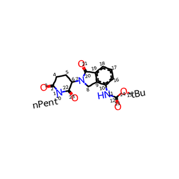 CCCCCN1C(=O)CCC(N2Cc3c(NC(=O)OC(C)(C)C)cccc3C2=O)C1=O